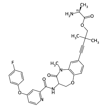 C[C@H](N)C(=O)OCC(C)(C)C#Cc1ccc2c(c1)N(C)C(=O)C(NC(=O)c1cc(Oc3ccc(F)cc3)ccn1)CO2